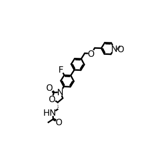 CC(=O)NC[C@H]1CN(c2ccc(-c3ccc(COCC4=CC[N+](=O)C=C4)cc3)c(F)c2)C(=O)O1